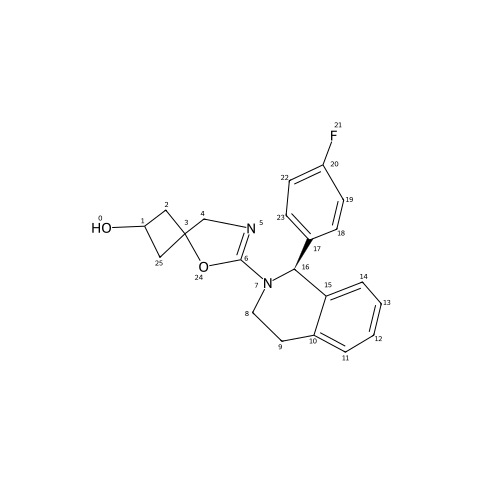 OC1CC2(CN=C(N3CCc4ccccc4[C@@H]3c3ccc(F)cc3)O2)C1